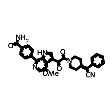 COc1cnc(-c2ccc(C(N)=O)cc2)c2[nH]cc(C(=O)C(=O)N3CCC(=C(C#N)c4ccccc4)CC3)c12